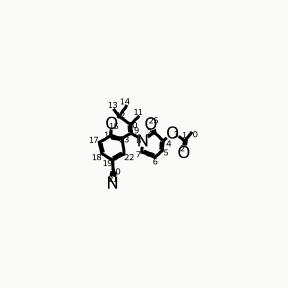 CC(=O)Oc1cccn(C2=C(C)C(C)(C)Oc3ccc(C#N)cc32)c1=O